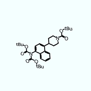 CC(C)(C)OC(=O)N1CCC(c2ccc(N(C(=O)OC(C)(C)C)C(=O)OC(C)(C)C)c3ccccc23)CC1